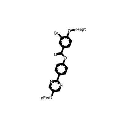 CCCCCCCOc1ccc(C(=O)Oc2ccc(-c3ncc(CCCCC)cn3)cc2)cc1Br